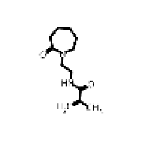 C=C(C)C(=O)NCCN1CCCCCC1=O